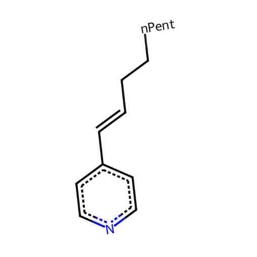 CCCCCCCC=Cc1ccncc1